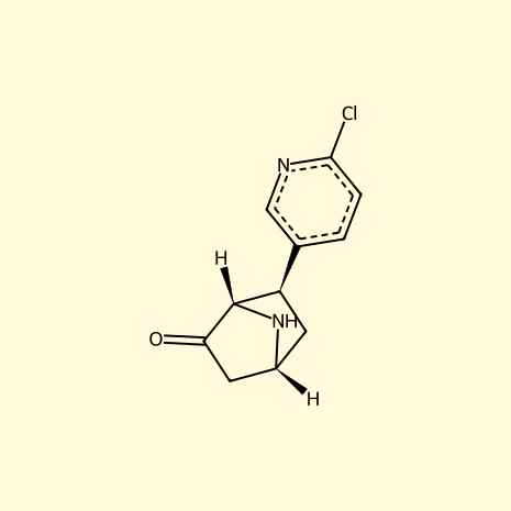 O=C1C[C@H]2C[C@H](c3ccc(Cl)nc3)[C@@H]1N2